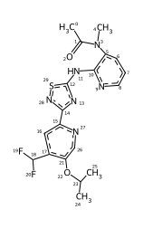 CC(=O)N(C)c1cccnc1Nc1nc(-c2cc(C(F)F)c(OC(C)C)cn2)ns1